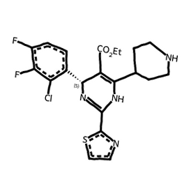 CCOC(=O)C1=C(C2CCNCC2)NC(c2nccs2)=N[C@@H]1c1ccc(F)c(F)c1Cl